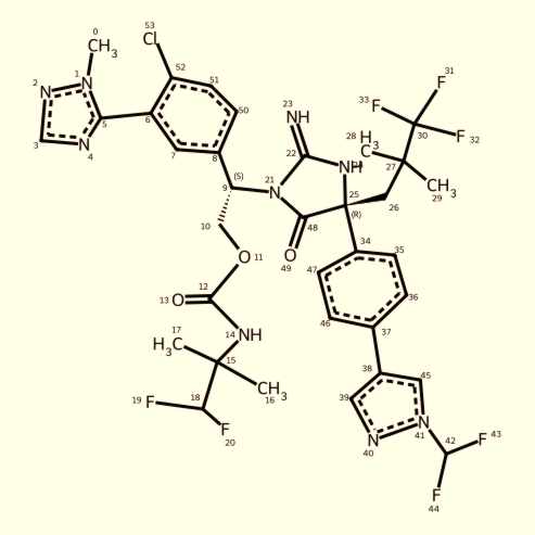 Cn1ncnc1-c1cc([C@@H](COC(=O)NC(C)(C)C(F)F)N2C(=N)N[C@](CC(C)(C)C(F)(F)F)(c3ccc(-c4cnn(C(F)F)c4)cc3)C2=O)ccc1Cl